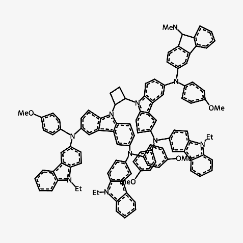 CCn1c2ccccc2c2cc(N(c3ccc(OC)cc3)c3ccc4c(c3)c3cc(N(c5ccc(OC)cc5)c5ccc6c(c5)-c5ccccc5C6NC)ccc3n4C3CCC3n3c4ccc(N(c5ccc(OC)cc5)c5ccc6c(c5)c5ccccc5n6CC)cc4c4cc(N(c5ccc(OC)cc5)c5ccc6c(c5)c5ccccc5n6CC)ccc43)ccc21